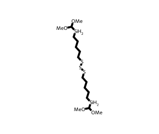 COC(OC)[SiH2]CCCCCSSSCCCCC[SiH2]C(OC)OC